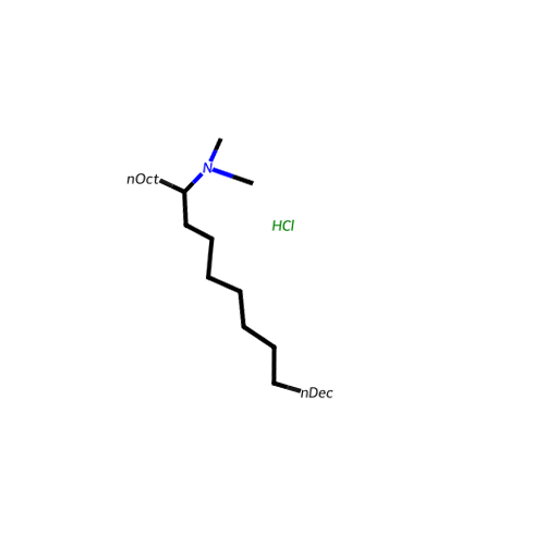 CCCCCCCCCCCCCCCCCC(CCCCCCCC)N(C)C.Cl